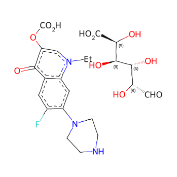 CCn1cc(OC(=O)O)c(=O)c2cc(F)c(N3CCNCC3)cc21.O=C[C@H](O)[C@@H](O)[C@@H](O)[C@H](O)C(=O)O